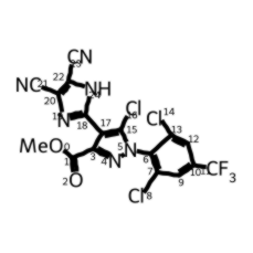 COC(=O)c1nn(-c2c(Cl)cc(C(F)(F)F)cc2Cl)c(Cl)c1-c1nc(C#N)c(C#N)[nH]1